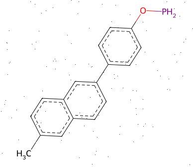 Cc1ccc2cc(-c3ccc(OP)cc3)ccc2c1